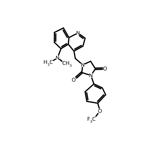 CN(C)c1cccc2nccc(CN3CC(=O)N(c4ccc(OC(F)(F)F)cc4)C3=O)c12